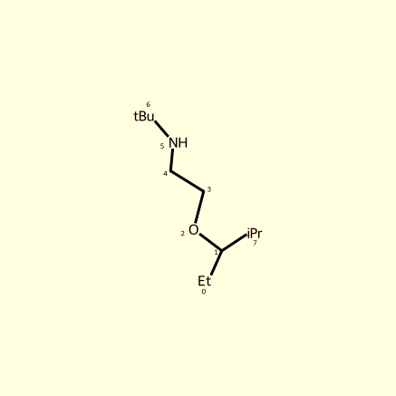 CCC(OCCNC(C)(C)C)C(C)C